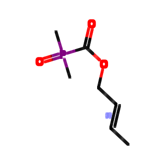 C/C=C/COC(=O)P(C)(C)=O